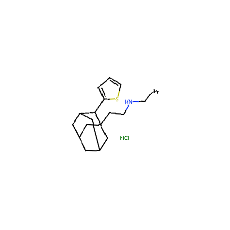 CC(C)CNCCC12CC3CC(CC(C3)C1c1cccs1)C2.Cl